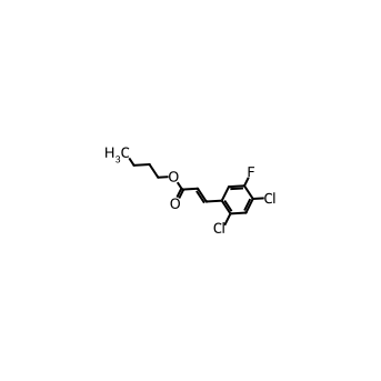 CCCCOC(=O)C=Cc1cc(F)c(Cl)cc1Cl